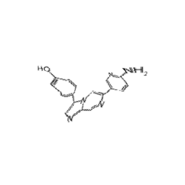 Nc1ccc(-c2cn3c(-c4ccc(O)cc4)cnc3cn2)cn1